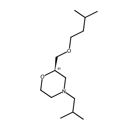 CC(C)CCOC[C@H]1CN(CC(C)C)CCO1